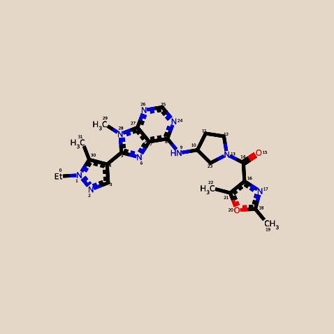 CCn1ncc(-c2nc3c(NC4CCN(C(=O)c5nc(C)oc5C)C4)ncnc3n2C)c1C